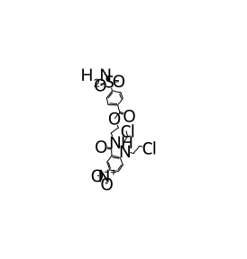 NS(=O)(=O)c1ccc(C(=O)OCCNC(=O)c2cc([N+](=O)[O-])ccc2N(CCCl)CCCl)cc1